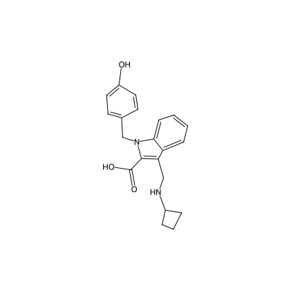 O=C(O)c1c(CNC2CCC2)c2ccccc2n1Cc1ccc(O)cc1